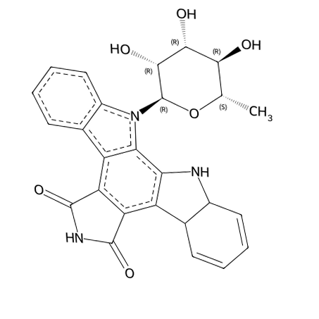 C[C@@H]1O[C@@H](n2c3ccccc3c3c4c(c5c(c32)NC2C=CC=CC52)C(=O)NC4=O)[C@H](O)[C@H](O)[C@H]1O